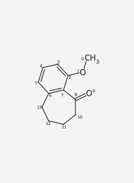 COc1cccc2c1C(=O)CCCC2